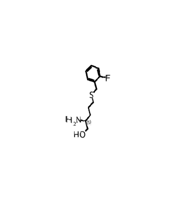 N[C@H](CO)CCCSCc1ccccc1F